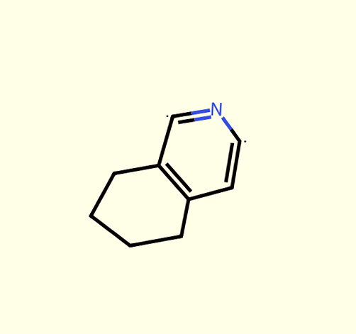 [c]1cc2c([c]n1)CCCC2